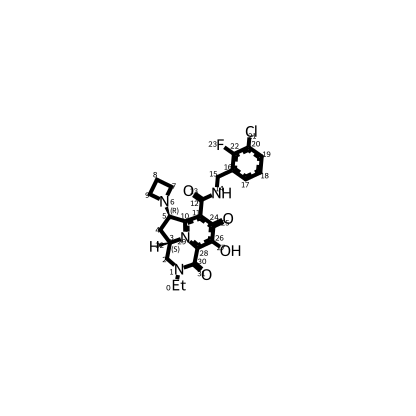 CCN1C[C@@H]2C[C@@H](N3CCC3)c3c(C(=O)NCc4cccc(Cl)c4F)c(=O)c(O)c(n32)C1=O